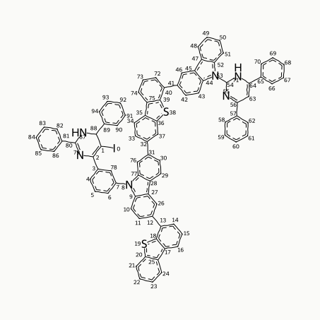 IC1=C(c2cccc(-n3c4ccc(-c5cccc6c5sc5ccccc56)cc4c4ccc(-c5ccc6c(c5)sc5c(-c7ccc8c(c7)c7ccccc7n8C7N=C(c8ccccc8)C=C(c8ccccc8)N7)cccc56)cc43)c2)N=C(c2ccccc2)NC1c1ccccc1